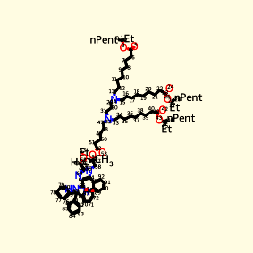 CCCCCC(CC)OC(=O)CCCCCCCCN(CCCCCCCCC(=O)OC(CC)CCCCC)CCCN(CCCCCCCCC(=O)OC(CC)CCCCC)CCCCCC(=O)OC(C)(C)Cn1c(COCC)nc2c(NC(c3ccccc3)(c3ccccc3)c3ccccc3)nc3ccccc3c21